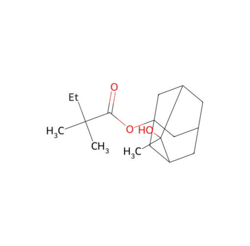 CCC(C)(C)C(=O)OC12CC3CC(C1)C(C)(O)C(C3)C2